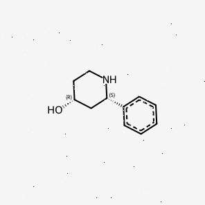 O[C@@H]1CCN[C@H](c2ccccc2)C1